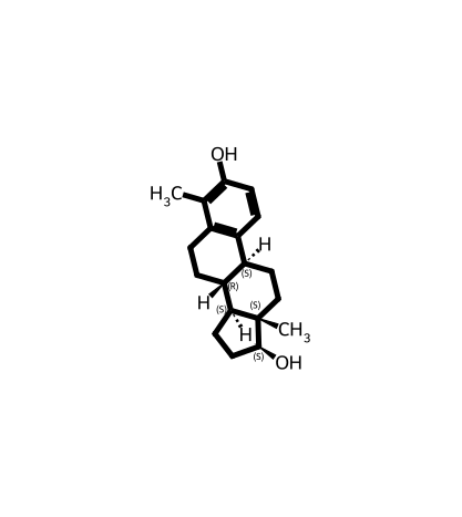 Cc1c(O)ccc2c1CC[C@@H]1[C@@H]2CC[C@]2(C)[C@@H](O)CC[C@@H]12